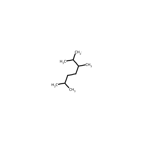 [CH2]C(C)CCC(C)C([CH2])C